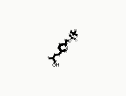 CC(CO)CCc1ccc(CO[Si](C)(C)C(C)(C)C)nc1